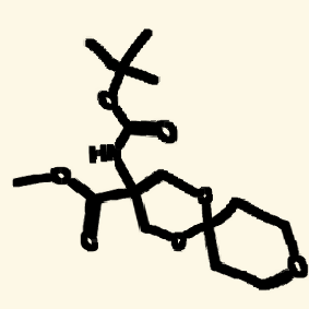 COC(=O)C1(NC(=O)OC(C)(C)C)COC2(CCOCC2)OC1